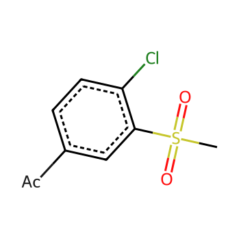 CC(=O)c1ccc(Cl)c(S(C)(=O)=O)c1